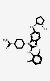 NC(=O)[C@H]1CC[C@H](n2c(Nc3c(F)cccc3F)nc3cnc(N[C@H]4CCC[C@@H]4O)nc32)CC1